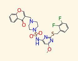 COc1cc(NS(=O)(=O)N2CCN(Cc3coc4ccccc4c3=O)CC2)nc(SCc2cccc(F)c2F)n1